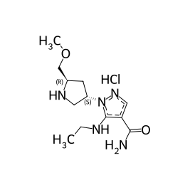 CCNc1c(C(N)=O)cnn1[C@@H]1CN[C@@H](COC)C1.Cl